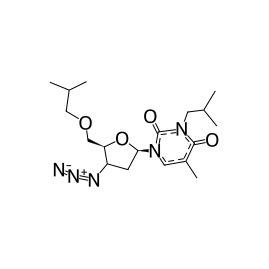 Cc1cn([C@H]2CC(N=[N+]=[N-])[C@@H](COCC(C)C)O2)c(=O)n(CC(C)C)c1=O